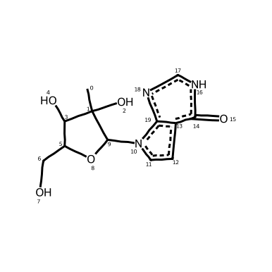 CC1(O)C(O)C(CO)OC1n1ccc2c(=O)[nH]cnc21